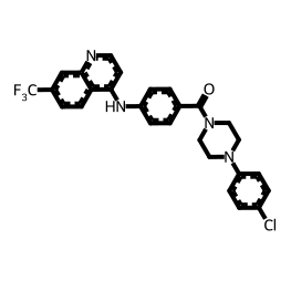 O=C(c1ccc(Nc2ccnc3cc(C(F)(F)F)ccc23)cc1)N1CCN(c2ccc(Cl)cc2)CC1